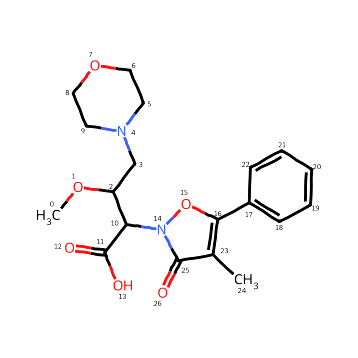 COC(CN1CCOCC1)C(C(=O)O)n1oc(-c2ccccc2)c(C)c1=O